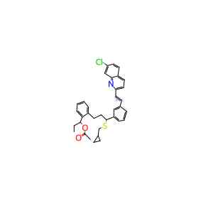 CCC(OC(C)=O)c1ccccc1CCC(SCC1CC1)c1cccc(/C=C/c2ccc3ccc(Cl)cc3n2)c1